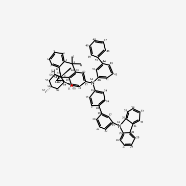 CC1(C)c2ccccc2C2(c3ccc(N(c4ccc(-c5cccc(-n6c7ccccc7c7ccccc76)c5)cc4)c4cccc(-c5ccccc5)c4)cc31)[C@H]1C[C@@H](C)C[C@@H]2C[C@@H](C)C1